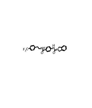 O=C(NCCc1ccc(C(F)(F)F)cc1)c1ccc(NC(=O)N2Cc3ccccc3C2)cc1